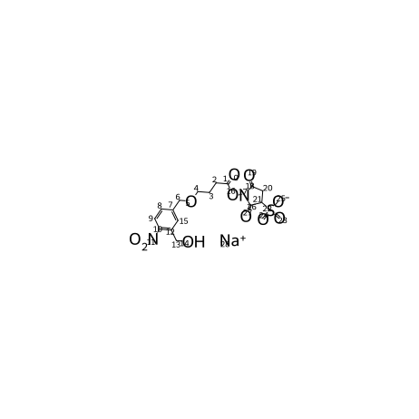 O=C(CCCOCc1ccc([N+](=O)[O-])c(CO)c1)ON1C(=O)CC(S(=O)(=O)[O-])C1=O.[Na+]